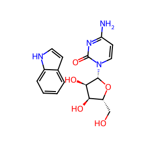 Nc1ccn([C@@H]2O[C@H](CO)[C@@H](O)[C@H]2O)c(=O)n1.c1ccc2[nH]ccc2c1